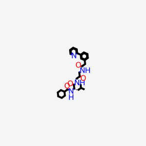 CC(C)C[C@H](NC(=O)C1CCCCC1)C(=O)NCC(=O)CNC(=O)Cc1cccc(-c2ccccn2)c1